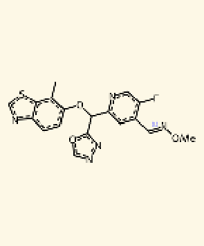 CO/N=C/c1cc(C(Oc2ccc3ncsc3c2C)c2nnco2)ncc1F